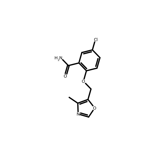 Cc1ncoc1COc1ccc(Cl)cc1C(N)=O